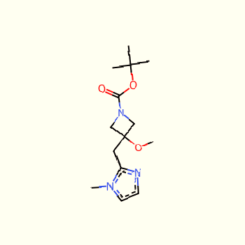 COC1(Cc2nccn2C)CN(C(=O)OC(C)(C)C)C1